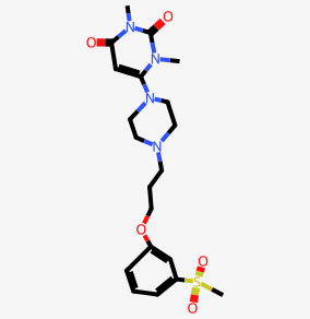 Cn1c(N2CCN(CCCOc3cccc(S(C)(=O)=O)c3)CC2)cc(=O)n(C)c1=O